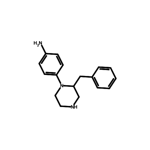 Nc1ccc(N2CCNCC2Cc2ccccc2)cc1